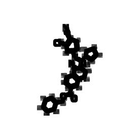 N#Cc1ccc(N2N=C3c4ccc(C(=O)OCC5CCCCC5)cc4CC[C@@H]3[C@@H]2C2CCCC2)cc1Cl